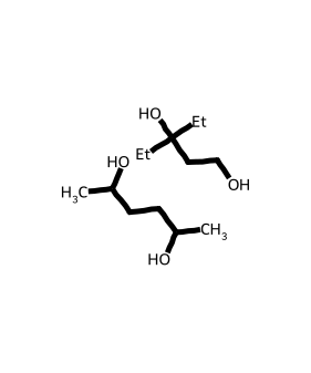 CC(O)CCC(C)O.CCC(O)(CC)CCO